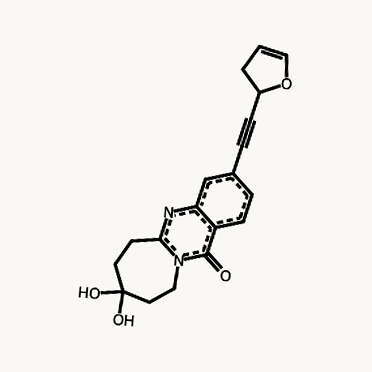 O=c1c2ccc(C#CC3CC=CO3)cc2nc2n1CCC(O)(O)CC2